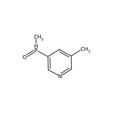 Cc1cncc([PH](C)=O)c1